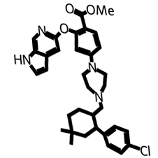 COC(=O)c1ccc(N2CCN(CC3CCC(C)(C)CC3c3ccc(Cl)cc3)CC2)cc1Oc1cc2cc[nH]c2cn1